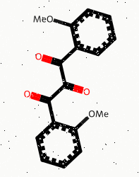 COc1ccccc1C(=O)C(=O)C(=O)c1ccccc1OC